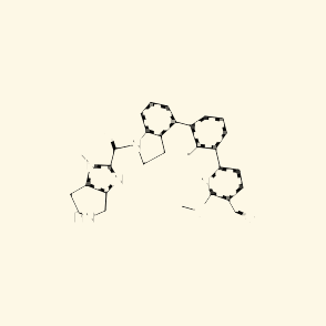 COc1nc(-c2cccc(-c3cccc4c3CCN4C(=O)c3nc4c(n3C)CCNC4)c2Cl)ccc1C=O